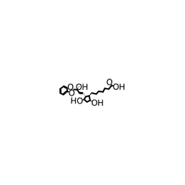 O=C(O)CCCCCC[C@@H]1[C@@H](/C=C/[C@@H](O)C2Oc3ccccc3O2)[C@H](O)C[C@@H]1O